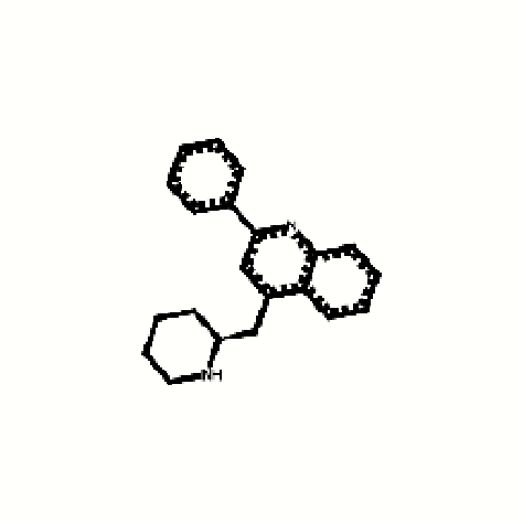 c1ccc(-c2cc(C[C@@H]3CCCCN3)c3ccccc3n2)cc1